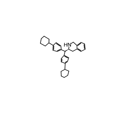 c1ccc2c(c1)CN[C@H](C(c1ccc(C3CCCCC3)cc1)c1ccc(C3CCCCC3)cc1)C2